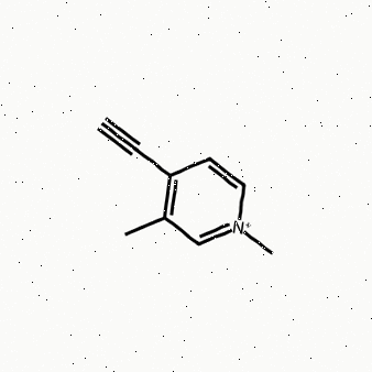 C#Cc1cc[n+](C)cc1C